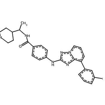 CC(NC(=O)c1ccc(Nc2nc3c(-c4cccc(Cl)c4)cccn3n2)cc1)C1CCNCC1